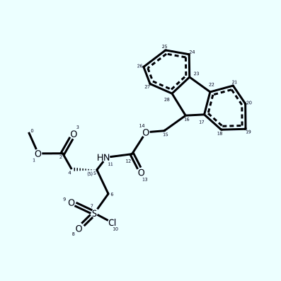 COC(=O)C[C@@H](CS(=O)(=O)Cl)NC(=O)OCC1c2ccccc2-c2ccccc21